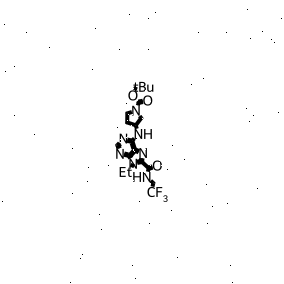 CCn1c(C(=O)NCC(F)(F)F)nc2c(NC3CCN(C(=O)OC(C)(C)C)C3)ncnc21